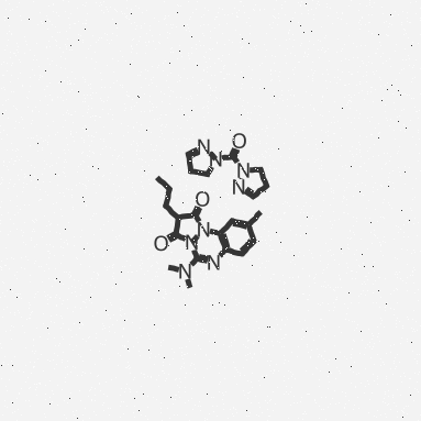 CCCC1C(=O)N2C(N(C)C)=Nc3ccc(C)cc3N2C1=O.O=C(N1CCC=N1)N1CCC=N1